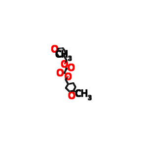 CC12CCC(COC(=O)C(=O)OCC3CCC4(C)OC4C3)CC1O2